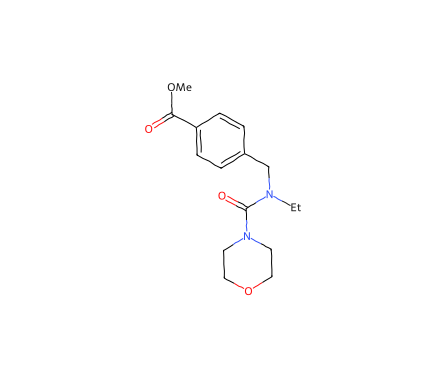 CCN(Cc1ccc(C(=O)OC)cc1)C(=O)N1CCOCC1